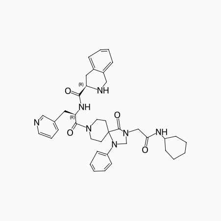 O=C(CN1CN(c2ccccc2)C2(CCN(C(=O)[C@@H](Cc3cccnc3)NC(=O)[C@H]3Cc4ccccc4CN3)CC2)C1=O)NC1CCCCC1